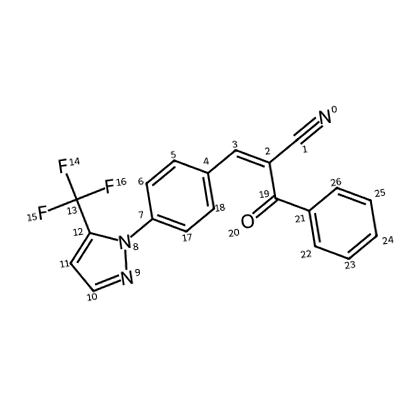 N#CC(=Cc1ccc(-n2nccc2C(F)(F)F)cc1)C(=O)c1ccccc1